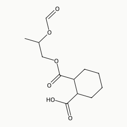 CC(COC(=O)C1CCCCC1C(=O)O)OC=O